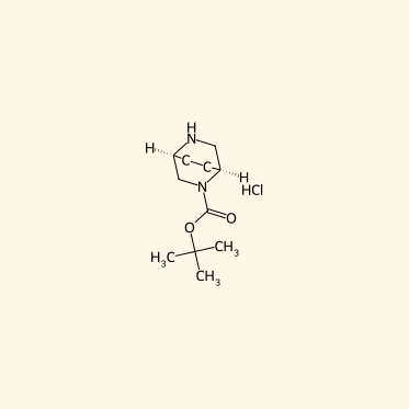 CC(C)(C)OC(=O)N1C[C@@H]2CC[C@H]1CN2.Cl